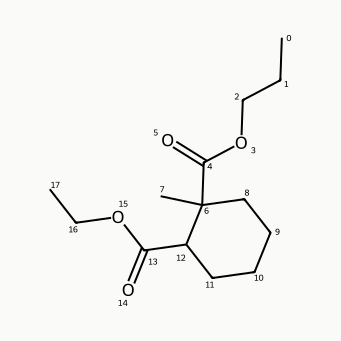 CCCOC(=O)C1(C)CCCCC1C(=O)OCC